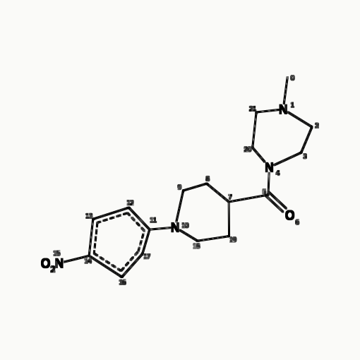 CN1CCN(C(=O)C2CCN(c3ccc([N+](=O)[O-])cc3)CC2)CC1